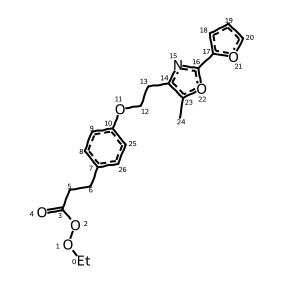 CCOOC(=O)CCc1ccc(OCCc2nc(-c3ccco3)oc2C)cc1